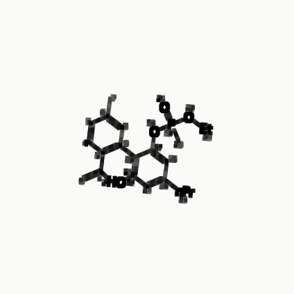 C=C(C)c1ccc(C)cc1-c1c(O)cc(CCC)cc1OP(C)(=O)OCC